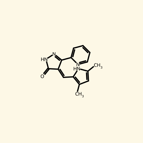 Cc1cc(C)c(/C=C2/C(=O)NN=C2c2ccccn2)[nH]1